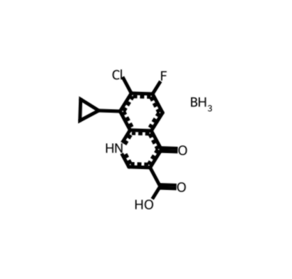 B.O=C(O)c1c[nH]c2c(C3CC3)c(Cl)c(F)cc2c1=O